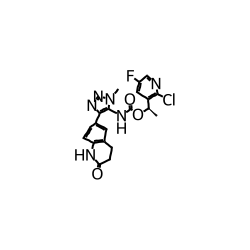 C[C@@H](OC(=O)Nc1c(-c2ccc3c(c2)CCC(=O)N3)nnn1C)c1cc(F)cnc1Cl